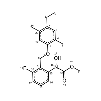 CCc1cc(C)c(OCc2c(F)cccc2N(O)C(=O)OC)cc1C